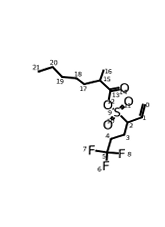 C=CC(CCC(F)(F)F)S(=O)(=O)OC(=O)C(C)CCCCC